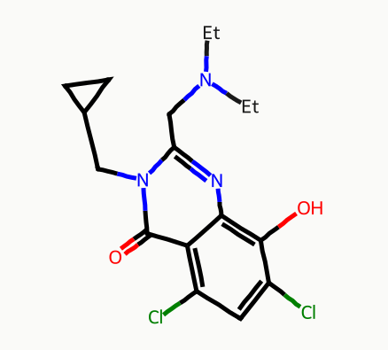 CCN(CC)Cc1nc2c(O)c(Cl)cc(Cl)c2c(=O)n1CC1CC1